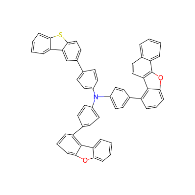 c1ccc2c(c1)ccc1c2oc2cccc(-c3ccc(N(c4ccc(-c5ccc6sc7ccccc7c6c5)cc4)c4ccc(-c5cccc6oc7ccccc7c56)cc4)cc3)c21